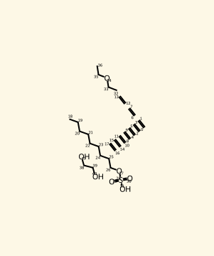 C=C.C=C.C=C.C=C.C=C.C=C.C=C.C=C.C=C.CCCCCCCCCOS(=O)(=O)O.CCOCC.OCCO